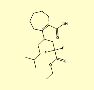 CCOC(=O)C(F)(F)CC(CCC(C)C)C1=C(C(=O)O)CCCCC1